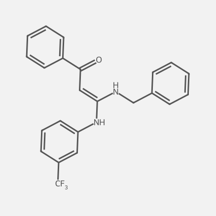 O=C(/C=C(\NCc1ccccc1)Nc1cccc(C(F)(F)F)c1)c1ccccc1